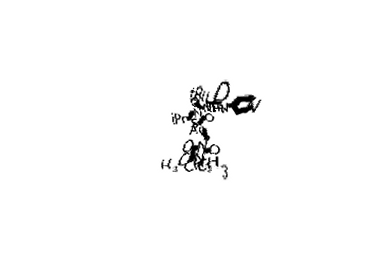 CC(=O)S[C@@H](CCCN1C(=O)N(C)C(C)(C)C1=O)C(=O)N(CCC(C)C)C(=O)N[C@H](C(=O)Nc1ccncc1)C(C)(C)C